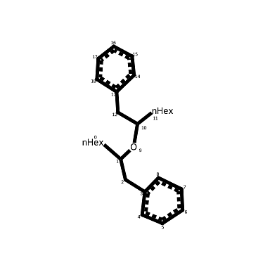 CCCCCCC(Cc1ccccc1)OC(CCCCCC)Cc1ccccc1